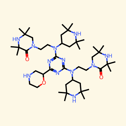 CC1(C)CC(N(CCN2CC(C)(C)NC(C)(C)C2=O)c2nc(C3CNCCO3)nc(N(CCN3CC(C)(C)NC(C)(C)C3=O)C3CC(C)(C)NC(C)(C)C3)n2)CC(C)(C)N1